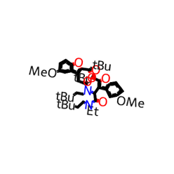 CCN(CCC(C)(C)C)C(=O)C(c1c(C(=O)C(C)(C)C)oc2ccc(OC)cc12)N(CCC(C)(C)C)C(=O)Cc1c(C(=O)C(C)(C)C)oc2ccc(OC)cc12